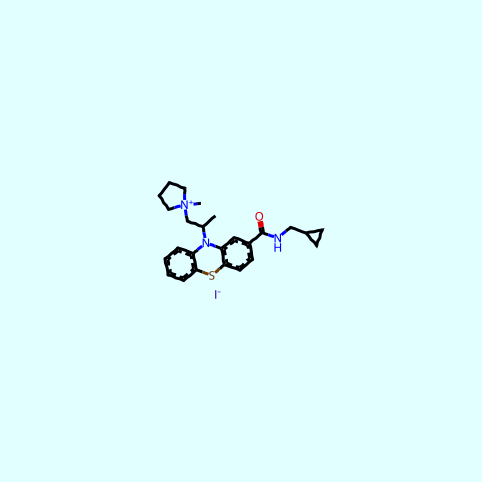 CC(C[N+]1(C)CCCC1)N1c2ccccc2Sc2ccc(C(=O)NCC3CC3)cc21.[I-]